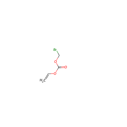 C=COC(=O)OCBr